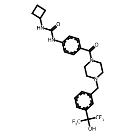 O=C(Nc1ccc(C(=O)N2CCN(Cc3cccc(C(O)(C(F)(F)F)C(F)(F)F)c3)CC2)cc1)NC1CCC1